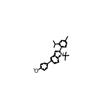 COc1ccc(-c2ccc3c(c2)cc(-c2ccc(C)cc2C(C)C)n3C(C)(C)C)cc1